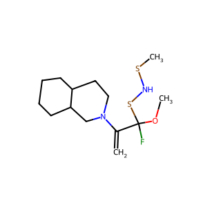 C=C(N1CCC2CCCCC2C1)C(F)(OC)SNSC